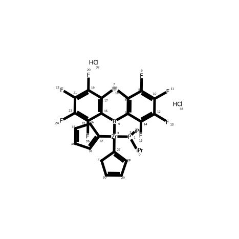 CC(C)[P](C(C)C)[Zr]([B](c1c(F)c(F)c(F)c(F)c1F)c1c(F)c(F)c(F)c(F)c1F)([C]1=CC=CC1)[C]1=CC=CC1.Cl.Cl